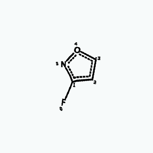 Fc1c[c]on1